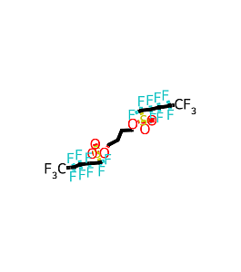 O=S(=O)(OCCCCOS(=O)(=O)C(F)(F)C(F)(F)C(F)(F)C(F)(F)C(F)(F)F)C(F)(F)C(F)(F)C(F)(F)C(F)(F)C(F)(F)F